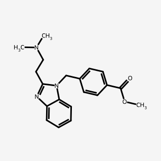 COC(=O)c1ccc(Cn2c(CCN(C)C)nc3ccccc32)cc1